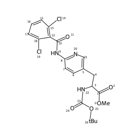 COC(=O)C(Cc1ccc(NC(=O)c2c(Cl)cccc2Cl)nc1)NC(=O)OC(C)(C)C